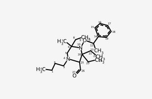 CCCCN1CC(C)(CC)N(OC(C)c2ccccc2)C(CC)(CC)C1C=O